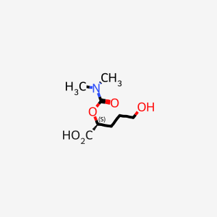 CN(C)C(=O)O[C@@H](CCCO)C(=O)O